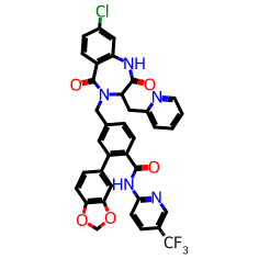 O=C(Nc1ccc(C(F)(F)F)cn1)c1ccc(CN2C(=O)c3ccc(Cl)cc3NC(=O)C2Cc2ccccn2)cc1-c1ccc2c(c1)OCO2